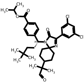 CC(C)OC(=O)c1ccc([C@@H](CCC(C)(C)C)N2C(=O)C(c3cc(Cl)cc(Cl)c3)=NC23CCC(C(C)(C)C=O)CC3)cc1